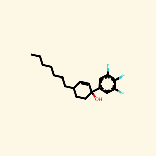 CCCCCCCC1C=CC(O)(c2cc(F)c(F)c(F)c2)CC1